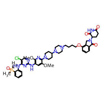 COc1cc(Nc2ncc(Cl)c(Nc3ccccc3P(C)(C)=O)n2)c(OC)nc1N1CCC(N2CCN(CCCCOc3cccc4c3CN(C3CCC(=O)NC3=O)C4=O)CC2)CC1